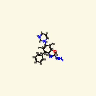 Cc1c(N2C=CC=NC2)c(C)c2oc(N)nc2c1-c1ccccc1